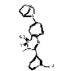 CN1C(c2cccc(Cl)c2)=Nc2ccc(N3CCN4CCC3CC4)cc2S1(=O)=O